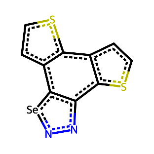 c1cc2c(s1)c1ccsc1c1nn[se]c21